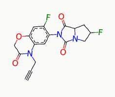 C#CCN1C(=O)COc2cc(F)c(N3C(=O)C4CC(F)CN4C3=O)cc21